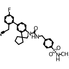 CNS(=O)(=O)c1ccc(CNC(=O)N2CC3(CCCC3)c3cc(-c4cc(F)ccc4CC#N)ccc32)cc1